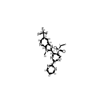 CCS(=O)(=O)c1cnc(-c2ncccn2)nc1-c1nc2cc(C(F)(F)F)cnc2n1C